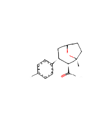 COC(=O)[C@H]1[C@@H](c2ccc([N+](=O)[O-])cc2)CC2CC[C@H]1O2